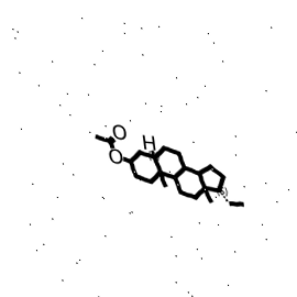 CC[C@H]1CCC2C3CC[C@H]4CC(OC(C)=O)CCC4(C)C3CCC21C